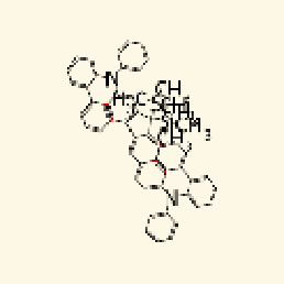 C[Si](C)(C)C1([Si](C)(C)C)c2cc(N(c3ccccc3)c3ccccc3-c3ccccc3)ccc2-c2cc3ccc(N(c4ccccc4)c4ccccc4-c4ccccc4)cc3cc21